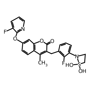 Cc1c(Cc2cccc(N3CCS3(O)O)c2F)c(=O)oc2cc(Oc3ncccc3F)ccc12